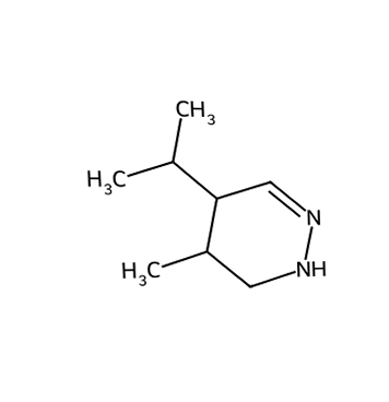 CC(C)C1C=NNCC1C